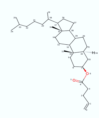 C=CCCC(=O)O[C@H]1CC[C@]2(C)C3CC[C@]4(C)C(C(C)CCCC(C)C)CCC4C3CC[C@H]2C1